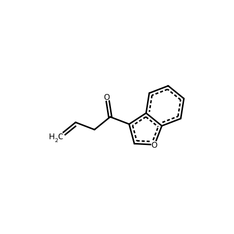 C=CCC(=O)c1coc2ccccc12